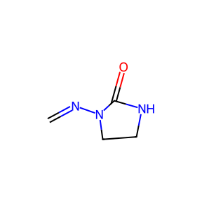 C=NN1CCNC1=O